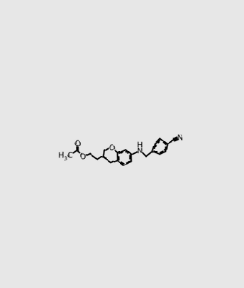 CC(=O)OCCC1COc2cc(NCc3ccc(C#N)cc3)ccc2C1